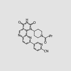 CC(C)C(=O)N1CCC(n2c(=O)[nH]c(=O)c3cnc4ccc(-c5ccc(C#N)nc5)nc4c32)CC1